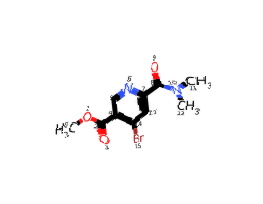 COC(=O)c1cnc(C(=O)N(C)C)cc1Br